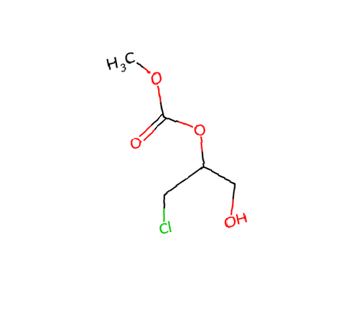 COC(=O)OC(CO)CCl